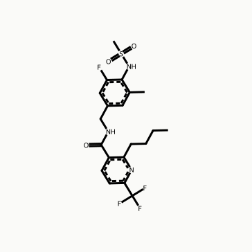 CCCCc1nc(C(F)(F)F)ccc1C(=O)NCc1cc(C)c(NS(C)(=O)=O)c(F)c1